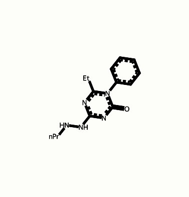 CCCNNc1nc(CC)n(-c2ccccc2)c(=O)n1